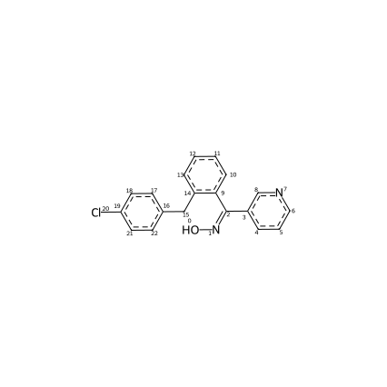 ON=C(c1cccnc1)c1ccccc1Cc1ccc(Cl)cc1